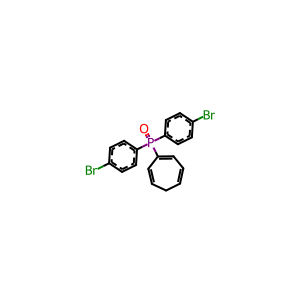 O=P(C1=CC=CCC=C1)(c1ccc(Br)cc1)c1ccc(Br)cc1